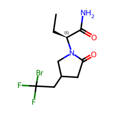 CC[C@@H](C(N)=O)N1CC(CC(F)(F)Br)CC1=O